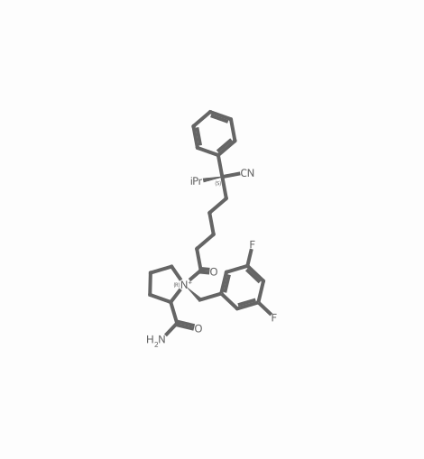 CC(C)[C@@](C#N)(CCCCC(=O)[N@@+]1(Cc2cc(F)cc(F)c2)CCCC1C(N)=O)c1ccccc1